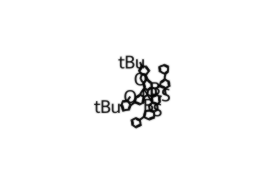 CC(C)(C)c1ccc2c(c1)oc1c2cc2c3c1c1c4oc5cc(C(C)(C)C)ccc5c4cc4c1n3-c1c3c(cc5c1B4c1cc(-c4ccccc4)ccc1S5)Sc1ccc(-c4ccccc4)cc1B32